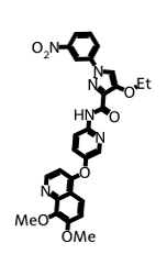 CCOc1cn(-c2cccc([N+](=O)[O-])c2)nc1C(=O)Nc1ccc(Oc2ccnc3c(OC)c(OC)ccc23)cn1